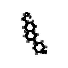 FC(F)(F)Oc1ccc2nc(N3CCNCC3)ccc2c1